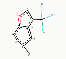 [CH2]c1ccc2occ(C(F)(F)F)c2c1